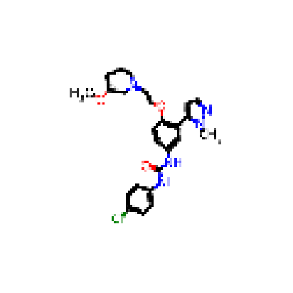 CO[C@H]1CCCN(CCOc2ccc(NC(=O)Nc3ccc(Cl)cc3)cc2-c2ccnn2C)C1